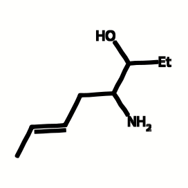 C/C=C/CC(N)C(O)CC